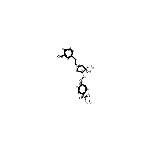 C[C@@]1(O)CN(CCc2cccc(Cl)c2)C[C@H]1COc1ccc(S(C)(=O)=O)cc1